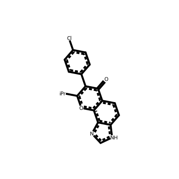 CC(C)c1oc2c(ccc3[nH]cnc32)c(=O)c1-c1ccc(Cl)cc1